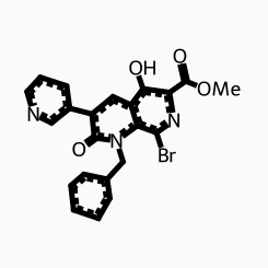 COC(=O)c1nc(Br)c2c(cc(-c3cccnc3)c(=O)n2Cc2ccccc2)c1O